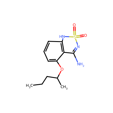 CCCC(C)Oc1cccc2c1C(N)=NS(=O)(=O)N2